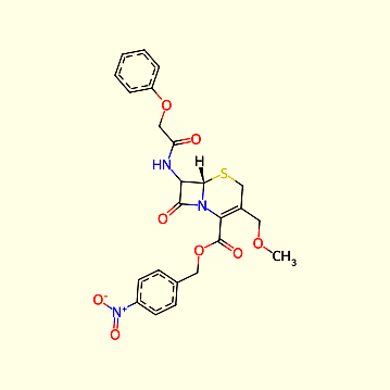 COCC1=C(C(=O)OCc2ccc([N+](=O)[O-])cc2)N2C(=O)C(NC(=O)COc3ccccc3)[C@@H]2SC1